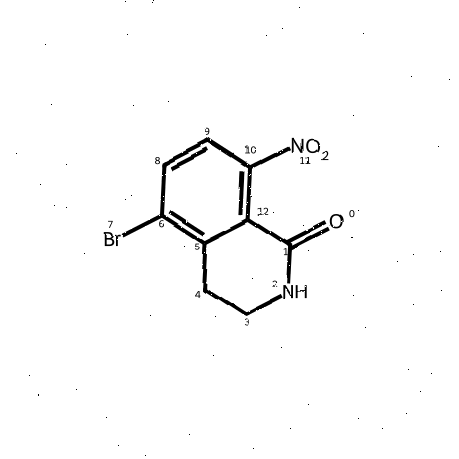 O=C1NCCc2c(Br)ccc([N+](=O)[O-])c21